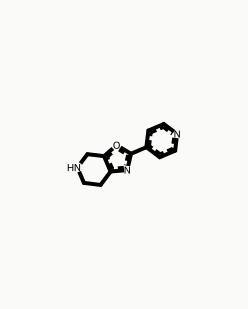 c1cc(-c2nc3c(o2)CNCC3)ccn1